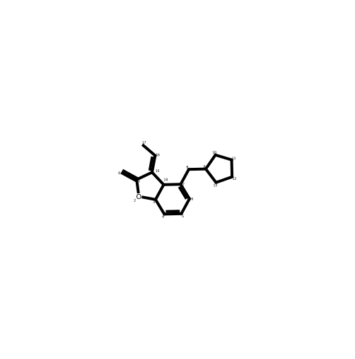 C=C1OC2C=CC=C(CC3CCCC3)C2/C1=C/C